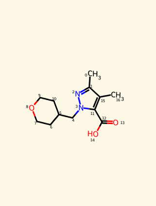 Cc1nn(CC2CCOCC2)c(C(=O)O)c1C